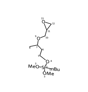 CCCC[Si](OC)(OC)OCCC(C)OCC1CO1